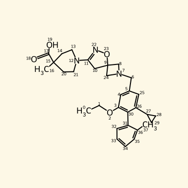 CCOc1cc(CN2CC3(CC(N4CCC(C)(C(=O)O)CC4)=NO3)C2)cc(C2CC2)c1-c1ccccc1C